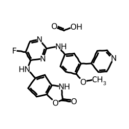 COc1ccc(Nc2ncc(F)c(Nc3ccc4oc(=O)[nH]c4c3)n2)cc1-c1ccncc1.O=CO